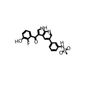 CS(=O)(=O)Nc1cccc(-c2cnc3[nH]cc(C(=O)c4cccc(O)c4F)c3c2)c1